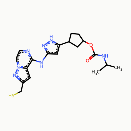 CC(C)NC(=O)OC1CCC(c2cc(Nc3nccn4nc(CS)cc34)n[nH]2)C1